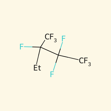 [CH2]CC(F)(C(F)(F)F)C(F)(F)C(F)(F)F